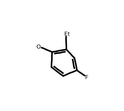 CCc1cc(F)ccc1[O]